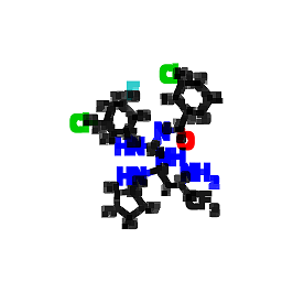 NC(CC(N/C(=N\C(=O)c1cccc(Cl)c1)Nc1cc(F)cc(Cl)c1)NC1CCCC1)C(F)(F)F